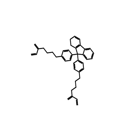 C=CC(=C)CCCCc1ccc(C2(c3ccc(CCCCC(=C)C=C)cc3)C3=C(C=CCC3)c3ccccc32)cc1